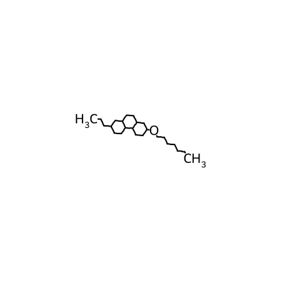 CCCCCCCOC1CCC2C(CCC3CC(CCC)CCC32)C1